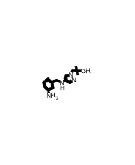 CC(C)(O)Cn1cc(NCc2cccc(N)c2)cn1